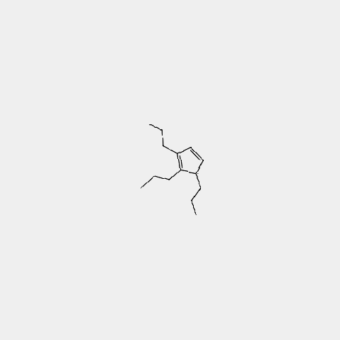 CCC[C]1C=CC(CCC)=C1CCC